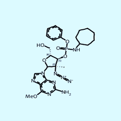 COc1nc(N)nc2c1ncn2C1O[C@H](CO)[C@@H](OP(=O)(NC2CCCCCC2)Oc2ccccc2)[C@@]1(C)N=[N+]=[N-]